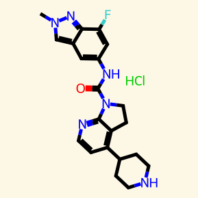 Cl.Cn1cc2cc(NC(=O)N3CCc4c(C5CCNCC5)ccnc43)cc(F)c2n1